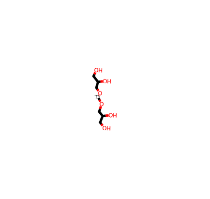 OCC(O)C[O][Ti][O]CC(O)CO